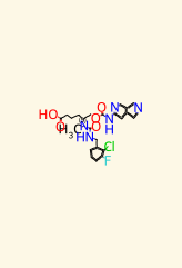 CN(C(=O)NCc1cccc(F)c1Cl)[C@@H](CCCC(=O)O)COC(=O)Nc1cc2ccncc2cn1